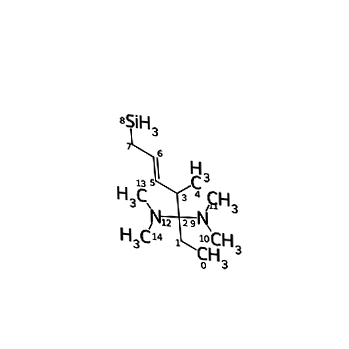 CCC(C(C)/C=C/C[SiH3])(N(C)C)N(C)C